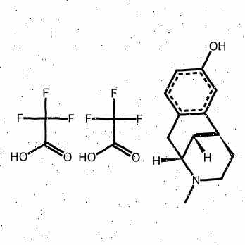 CN1CC[C@]23CCCC[C@H]2[C@H]1Cc1ccc(O)cc13.O=C(O)C(F)(F)F.O=C(O)C(F)(F)F